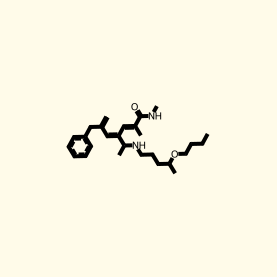 C=C(/C=C(\C=C(/C)C(=O)NC)C(C)NCCCC(C)OCCCC)Cc1ccccc1